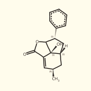 C[C@H]1C=C2C(=O)OC3[C@H](c4ccccc4)C[C@H](C1)[C@]23O